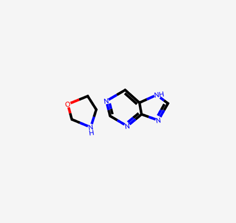 C1COCN1.c1ncc2[nH]cnc2n1